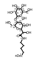 CCCCCCCCCCCCCCNC(=O)C(O)C1O[C@H](CO)[C@@H](OC2O[C@H](CO)[C@H](O)[C@H](O)[C@H]2O)[C@H](O)[C@H]1O